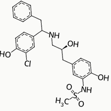 CS(=O)(=O)Nc1cc(C[C@H](O)CNC(Cc2ccccc2)c2ccc(O)c(Cl)c2)ccc1O